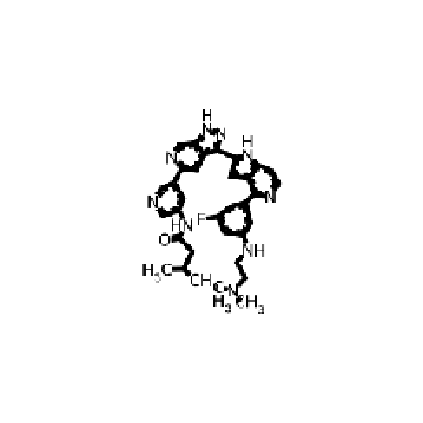 CC(C)CC(=O)Nc1cncc(-c2cc3c(-c4cc5c(-c6cc(F)cc(NCCN(C)C)c6)nccc5[nH]4)n[nH]c3cn2)c1